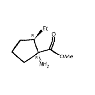 CC[C@@H]1CCC[C@]1(N)C(=O)OC